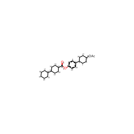 CC(=O)OC1CCC(c2ccc(OC(=O)C3CCC(C4CCCCC4)CC3)cc2)CC1